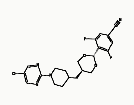 N#Cc1cc(F)c([C@H]2OC[C@H](CC3CCN(c4ncc(Cl)cn4)CC3)CO2)c(F)c1